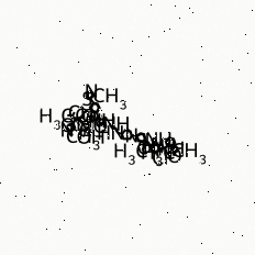 COc1cc(N2CCC(NCCNC(=O)C[C@H](NC(=O)[C@@H]3C[C@@H](O)CN3C(=O)[C@@H](c3cc(C)no3)C(C)C)c3ccc(-c4scnc4C)cc3)CC2)ccc1Nc1ncc(Cl)c(Nc2ccccc2P(C)(C)=O)n1